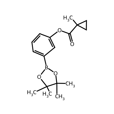 CC1(C(=O)Oc2cccc(B3OC(C)(C)C(C)(C)O3)c2)CC1